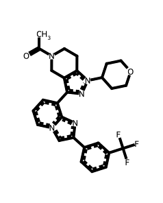 CC(=O)N1CCc2c(c(-c3cccn4cc(-c5cccc(C(F)(F)F)c5)nc34)nn2C2CCOCC2)C1